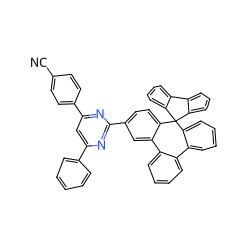 N#Cc1ccc(-c2cc(-c3ccccc3)nc(-c3ccc4c(c3)-c3ccccc3-c3ccccc3C43c4ccccc4-c4ccccc43)n2)cc1